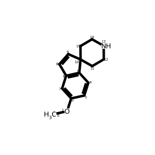 COc1ccc2c(c1)C=CC21CCNCC1